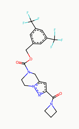 O=C(OCc1cc(C(F)(F)F)cc(C(F)(F)F)c1)N1CCn2nc(C(=O)N3CCC3)cc2C1